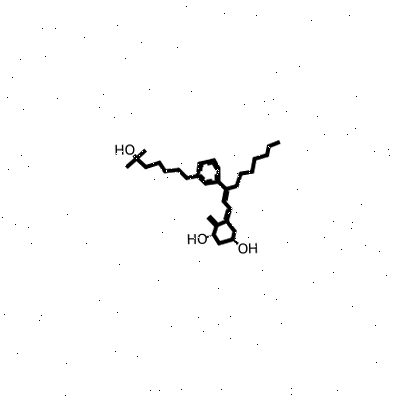 C=C1/C(=C\C=C(/CCCCCCC)c2cccc(CCCCCC(C)(C)O)c2)C[C@@H](O)C[C@@H]1O